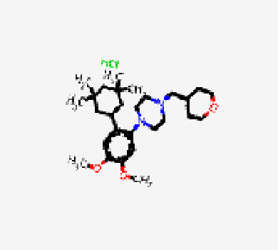 COc1cc(C2CC(C)(C)CC(C)(C)C2)c(N2CCN(CC3CCOCC3)CC2)cc1OC.Cl